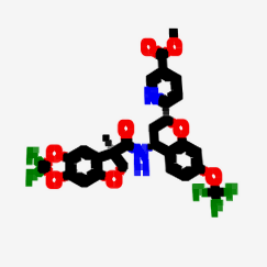 COC(=O)c1ccc([C@H]2C[C@@H](NC(=O)[C@@]3(C)COc4cc5c(cc43)OC(F)(F)O5)c3ccc(OC(F)(F)F)cc3O2)nc1